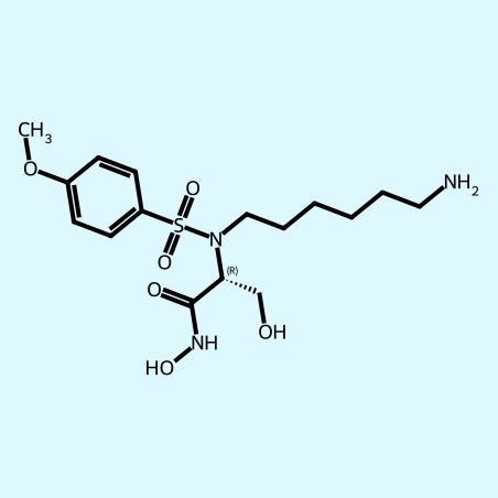 COc1ccc(S(=O)(=O)N(CCCCCCN)[C@H](CO)C(=O)NO)cc1